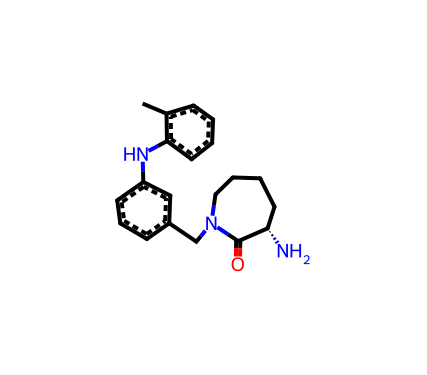 Cc1ccccc1Nc1cccc(CN2CCCC[C@H](N)C2=O)c1